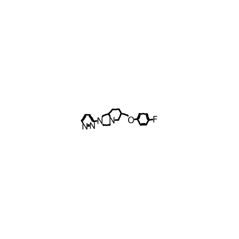 Fc1ccc(OCC2CCC3CN(c4cccnn4)CCN3C2)cc1